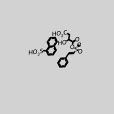 O=C(O)CC(O)C(=O)OS(=O)(=O)C=Cc1ccccc1.O=S(=O)(O)c1cccc2ccccc12